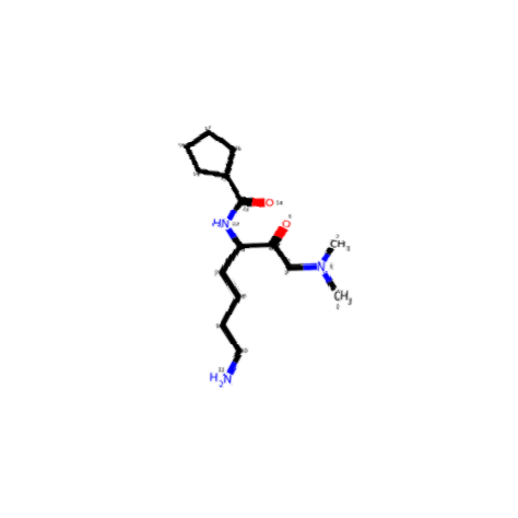 CN(C)CC(=O)C(CCCCN)NC(=O)C1CCCC1